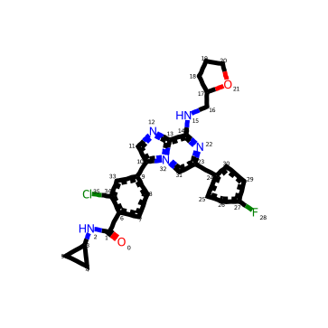 O=C(NC1CC1)c1ccc(-c2cnc3c(NCC4CCCO4)nc(-c4ccc(F)cc4)cn23)cc1Cl